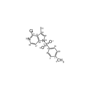 Cc1ccc(S(=O)(=O)n2cc(I)c3c(Cl)nccc32)cc1